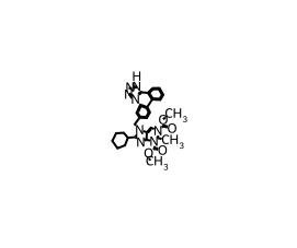 COC(=O)N1C=C2C(=NC(C3CCCCC3)N2Cc2ccc(-c3ccccc3-c3nnn[nH]3)cc2)N(C(=O)OC)C1C